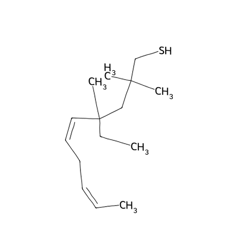 C/C=C\C/C=C\C(C)(CC)CC(C)(C)CS